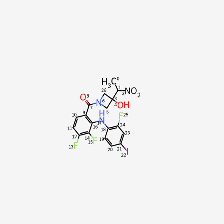 CC([N+](=O)[O-])C1(O)CN(C(=O)c2ccc(F)c(F)c2Nc2ccc(I)cc2F)C1